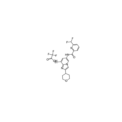 CCc1cc(NC(=O)c2cccc(C(F)F)n2)cn2cc(C3CCOCC3)nc12.O=C(O)C(F)(F)F